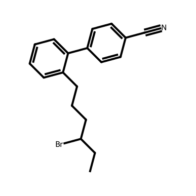 CCC(Br)CCCc1ccccc1-c1ccc(C#N)cc1